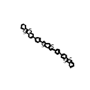 c1ccc2c(c1)sc1c3ccc(-c4ccc(-c5cc6cc7sc(-c8ccc(-c9ccc%10c(c9)sc9c%11ccccc%11sc%109)cc8)cc7cc6s5)cc4)cc3sc21